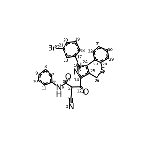 N#CC(C(=O)Nc1ccccc1)C(=O)c1nn(-c2cccc(Br)c2)c2c1CSc1ccccc1-2